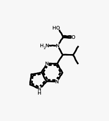 C[C](C)C(c1cnc2[nH]ccc2n1)N(N)C(=O)O